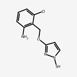 Nc1cccc(Cl)c1COc1ccn(S)n1